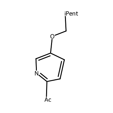 CCCC(C)COc1ccc(C(C)=O)nc1